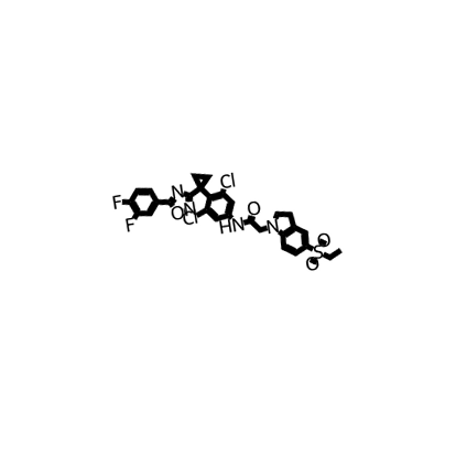 CCS(=O)(=O)c1ccc2c(c1)CCN2CC(=O)Nc1cc(Cl)c(C2(c3noc(-c4ccc(F)c(F)c4)n3)CC2)c(Cl)c1